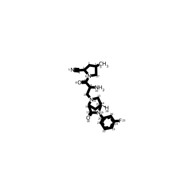 CC1CC(C#N)N(C(=O)C(N)CN2C[C@@H]3CC2C(=O)N3c2cccc(F)c2)C1